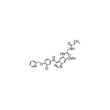 C=CC(=O)NCC(=O)Nc1cc2c(Nc3ccc(OCc4ccccn4)c(Cl)c3)ncnc2cc1OC